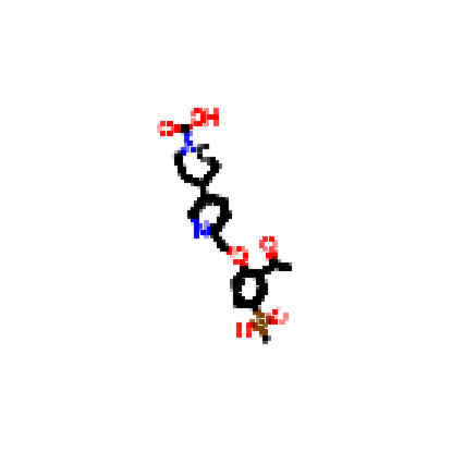 CC(=O)c1cc(S(C)(=O)=O)ccc1OCc1ccc(C2CCN(C(=O)O)CC2)cn1